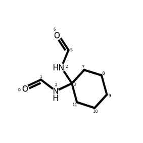 O=CNC1(NC=O)CCCCC1